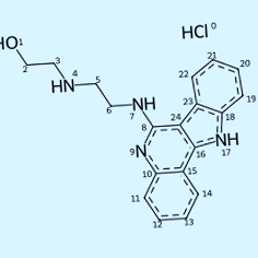 Cl.OCCNCCNc1nc2ccccc2c2[nH]c3ccccc3c12